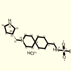 CCS(=O)(=O)NCC1CCC2(CC1)CCN(C[C@@H]1CCNC1)CC2.Cl